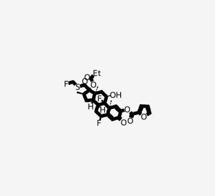 CCC(=O)O[C@@]1(C(=O)SCF)[C@H](C)C[C@H]2[C@@H]3C[C@H](F)C4=CC(=O)C(OC(=O)c5ccco5)=C[C@]4(C)[C@@]3(F)[C@@H](O)C[C@@]21C